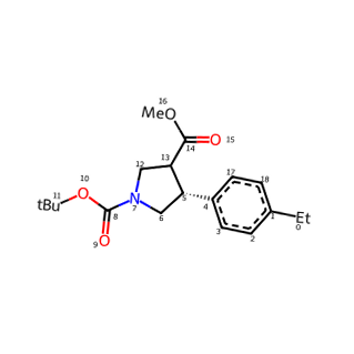 CCc1ccc([C@@H]2CN(C(=O)OC(C)(C)C)CC2C(=O)OC)cc1